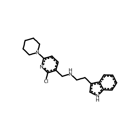 Clc1nc(N2CCCCC2)ccc1CNCCc1c[nH]c2ccccc12